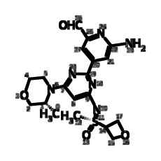 C[C@@H]1COCCN1c1cc(N=[S@](C)(=O)C2COC2)nc(-c2cc(N)nc(C=O)c2)n1